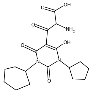 NC(C(=O)O)C(=O)c1c(O)n(C2CCCC2)c(=O)n(C2CCCCC2)c1=O